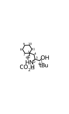 CC(C)(C)[C@@H](O)C(CC1(F)CCCCC1)NC(=O)O